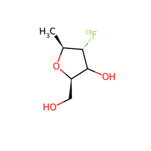 C[C@@H]1O[C@H](CO)C(O)[C@H]1[18F]